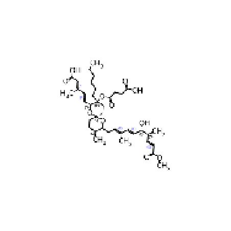 CCCCCC[C@@]1(OC(=O)CCC(=O)O)CC[C@]2(CC[C@H](C)C(C/C=C(C)/C=C/[C@H](O)[C@@H](C)/C=C/C(=O)OC)O2)O[C@H]1/C=C/C(C)=C/C(=O)O